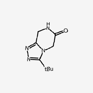 CC(C)(C)c1nnc2n1CC(=O)NC2